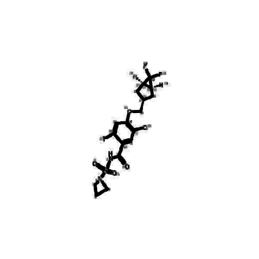 O=C(NS(=O)(=O)N1CCC1)c1cc(Cl)c(OC[C@H]2C[C@@H]3[C@H](C2)C3(F)F)cc1F